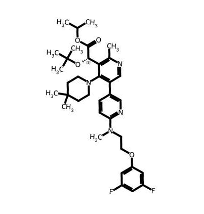 Cc1ncc(-c2ccc(N(C)CCOc3cc(F)cc(F)c3)nc2)c(N2CCC(C)(C)CC2)c1[C@H](OC(C)(C)C)C(=O)OC(C)C